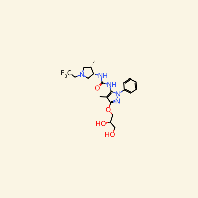 Cc1c(OC[C@H](O)CO)nn(-c2ccccc2)c1NC(=O)N[C@H]1CN(CC(F)(F)F)C[C@@H]1C